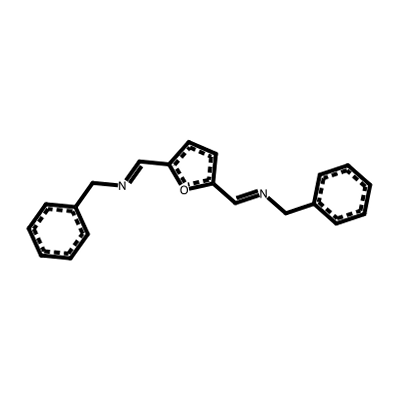 C(=N\Cc1ccccc1)/c1ccc(/C=N/Cc2ccccc2)o1